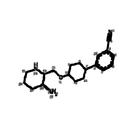 N#Cc1cccc(C2CCC(OC[C@@H]3NCCC[C@@H]3N)CC2)c1